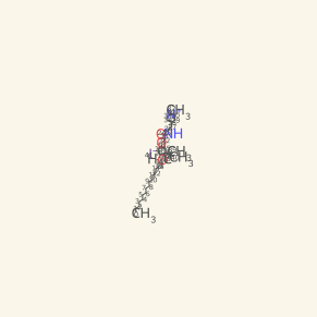 CCCCCCCCCCCCCCCCOc1ccc(OCC(=O)NCCc2cc[n+](C)cc2)cc1C(C)(C)C.[I-]